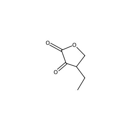 CCC1COC(=O)C1=O